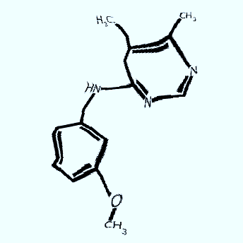 COc1cccc(Nc2ncnc(C)c2C)c1